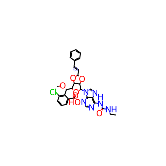 CCNC(=O)Nc1ncnc2c1ncn2C1OC(C(OC)c2c(Cl)cccc2C(=O)O)C2OC(/C=C/c3ccccc3)OC21